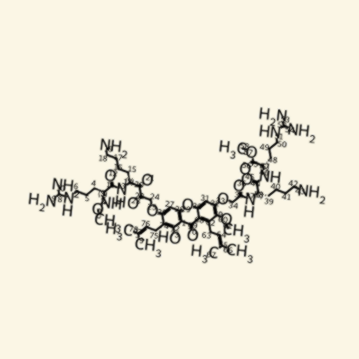 CON[C@@H](CCCNC(N)N)C(=O)N[C@@H](CCCCN)C(=O)C(=O)COc1cc2oc3cc(OCC(=O)N[C@@H](CCCCN)C(=O)N[C@@H](CCCNC(N)N)C(=O)OC)c(OC)c(CC=C(C)C)c3c(=O)c2c(O)c1CC=C(C)C